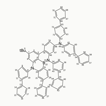 CC(C)(C)c1cc2c3c(c1)N(c1cccc(-c4ccccc4)c1)c1cc(-c4ccccc4)ccc1B3N(c1cccc(-c3ccccc3)c1)c1cc(N(c3ccc(-c4ccccc4)cc3)c3ccc(-c4ccccc4)cc3)ccc1-2